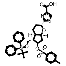 Cc1ccc(S(=O)(=O)O[C@@H]2C[C@@H]3O[C@@H](c4nc(C(=O)O)cs4)CC[C@@H]3[C@H]2CO[Si](c2ccccc2)(c2ccccc2)C(C)(C)C)cc1